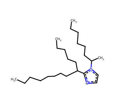 CCCCCCCCC(CCCCC)c1nccn1C(C)CCCCCC